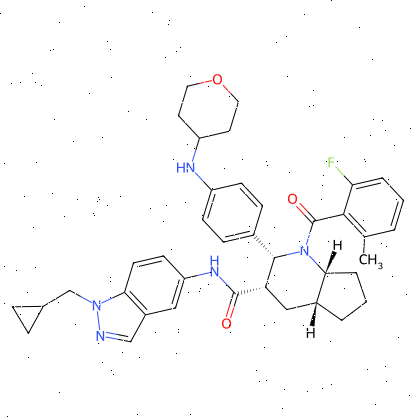 Cc1cccc(F)c1C(=O)N1[C@@H]2CCC[C@@H]2C[C@H](C(=O)Nc2ccc3c(cnn3CC3CC3)c2)[C@@H]1c1ccc(NC2CCOCC2)cc1